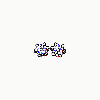 N#Cc1c(-n2c3ccccc3c3ccccc32)c(-n2c3ccccc3c3ccccc32)c(-c2ccccc2)c(-n2c3ccccc3c3ccccc32)c1-n1c2ccccc2c2cc(-c3ccc4c(c3)c3ccccc3n4-c3c(C#N)c(-n4c5ccccc5c5ccccc54)c(-n4c5ccccc5c5ccccc54)c(-n4c5ccccc5c5ccccc54)c3-n3c4ccccc4c4ccccc43)ccc21